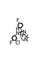 CN1CCn2c(nc(-c3ccc(F)cc3)c2Nc2ccc(F)c(Cl)c2)C1(C)C